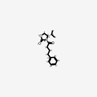 CC(C)[C@H]1COC(=O)N1C(=O)CCCc1ccccc1